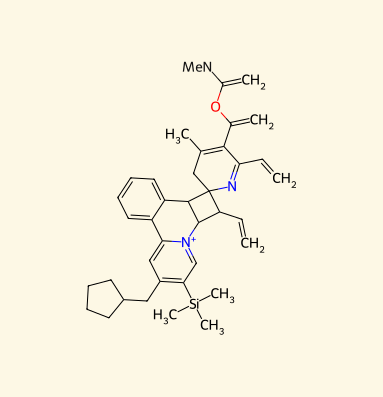 C=CC1=NC2(CC(C)=C1C(=C)OC(=C)NC)C(C=C)C1C2c2ccccc2-c2cc(CC3CCCC3)c([Si](C)(C)C)c[n+]21